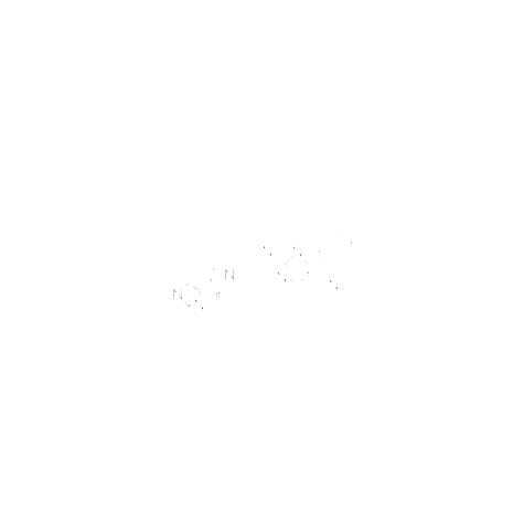 Cn1cnc(S(=O)(=O)N2CCC(Nc3ncc(C#N)c(OC4CCCC4(C)O)n3)CC2)c1